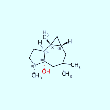 C[C@@H]1CC[C@H]2[C@]3(C)C[C@@H]3CC(C)(C)C[C@@]12O